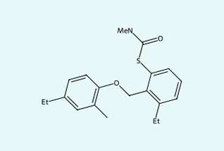 CCc1ccc(OCc2c(CC)cccc2SC(=O)NC)c(C)c1